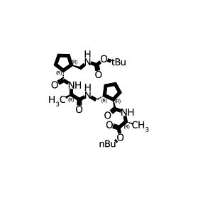 CCCCOC(=O)[C@@H](C)NC(=O)[C@@H]1CCC[C@H]1CNC(=O)[C@@H](C)NC(=O)[C@@H]1CCC[C@H]1CNC(=O)OC(C)(C)C